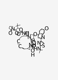 COc1ccc2c(O[C@@H]3C[C@H]4C(=O)N[C@]5(C(=O)O)CC5/C=C\CCCCC[C@H](NC(=O)OC(C(=O)N5CCCC5=O)C(C)(C)C)C(=O)N4C3)cc(-c3csc(NC(C)C)n3)nc2c1